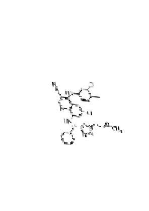 COCCn1cc([C@@H](Nc2cc(Cl)cc3c(Nc4ccc(F)c(Cl)c4)c(C#N)cnc23)c2ccccc2)nn1